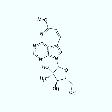 COC1=Nc2ncnc3c2c(cn3C2O[C@H](CO)[C@@H](O)[C@@]2(C)O)C=C1